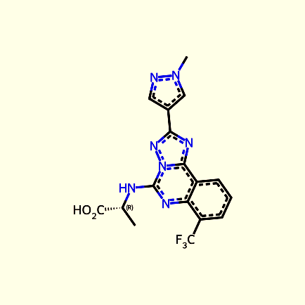 C[C@@H](Nc1nc2c(C(F)(F)F)cccc2c2nc(-c3cnn(C)c3)nn12)C(=O)O